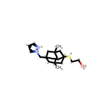 CC12CC3(C)CC(Cn4cccn4)(C1)CC(SCCO)(C2)C3